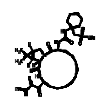 CCNC(=O)C(=O)[C@@H]1CCCCCCCCC[C@H](NC(=O)NC2(CS(=O)(=O)C(C)(C)C)CCCCC2)C(=O)N2C[C@H]3[C@@H]([C@H]2C(=O)N1)C3(C)C